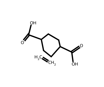 C=C.O=C(O)C1CCC(C(=O)O)CC1